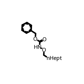 CCCCCCCCONC(=O)OCc1ccccc1